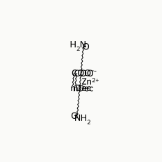 CCCCCCCCCCCCCCCCCC(=O)[O-].CCCCCCCCCCCCCCCCCC(=O)[O-].NC(=O)CCCCCCCCCCCCCCCCCCCCCCCCCCCCCCCCCCCCC(N)=O.[Zn+2]